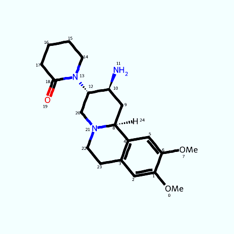 COc1cc2c(cc1OC)[C@@H]1C[C@H](N)[C@@H](N3CCCCC3=O)CN1CC2